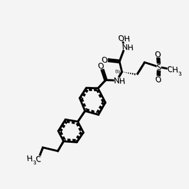 CCCc1ccc(-c2ccc(C(=O)N[C@@H](CCS(C)(=O)=O)C(=O)NO)cc2)cc1